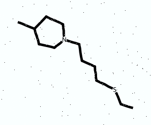 CCSCCCCN1CCC(C)CC1